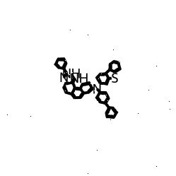 N=C1/C(=N\Nc2ccccc2)C=Cc2ccc3cc(N(c4ccc(-c5ccccc5)cc4)c4ccc5c(c4)sc4ccccc45)ccc3c21